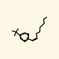 CCCCCC/C=[C]\c1ccc(C(C)(C)C)cc1